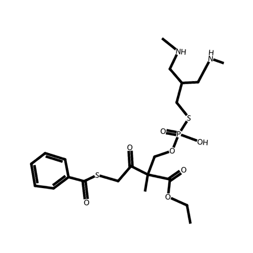 CCOC(=O)C(C)(COP(=O)(O)SCC(CNC)CNC)C(=O)CSC(=O)c1ccccc1